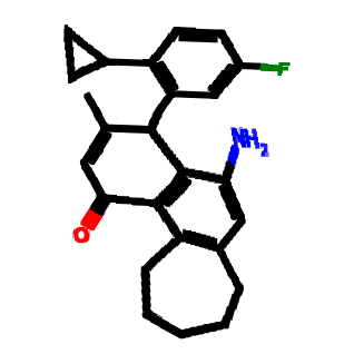 CC1=CC(=O)c2c3c(cc(N)c2C1c1cc(F)ccc1C1CC1)CCCCC3